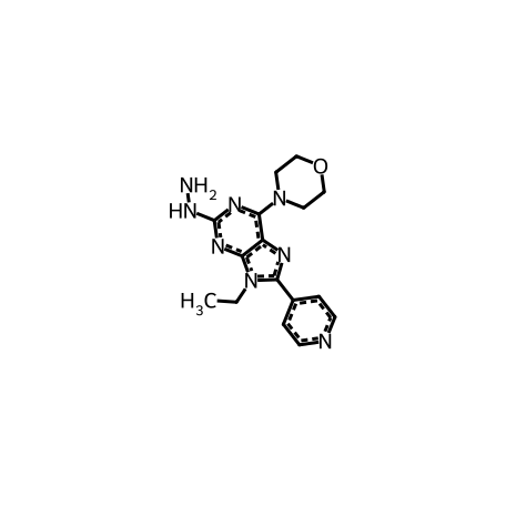 CCn1c(-c2ccncc2)nc2c(N3CCOCC3)nc(NN)nc21